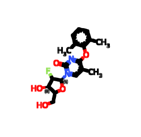 Cc1cn([C@H]2OC(CO)[C@@H](O)C2F)c(=O)nc1Oc1c(C)cccc1C